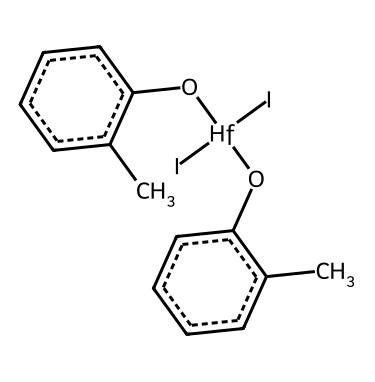 Cc1ccccc1[O][Hf]([I])([I])[O]c1ccccc1C